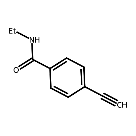 C#Cc1ccc(C(=O)NCC)cc1